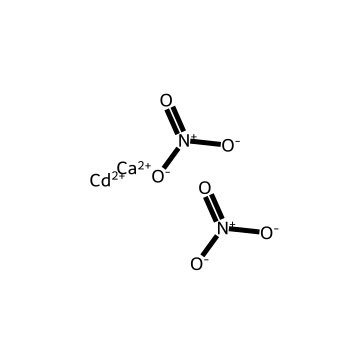 O=[N+]([O-])[O-].O=[N+]([O-])[O-].[Ca+2].[Cd+2]